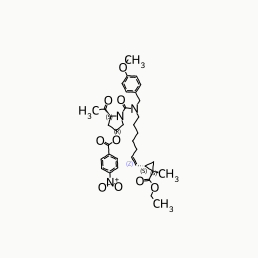 CCOC(=O)[C@@]1(C)C[C@H]1/C=C\CCCCCN(Cc1ccc(OC)cc1)C(=O)N1C[C@H](OC(=O)c2ccc([N+](=O)[O-])cc2)C[C@H]1C(C)=O